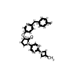 CC1CN(c2ncc(N3CC[C@@H](Oc4ccc(Cc5ccc(F)cc5)nc4)C3=O)cn2)C1